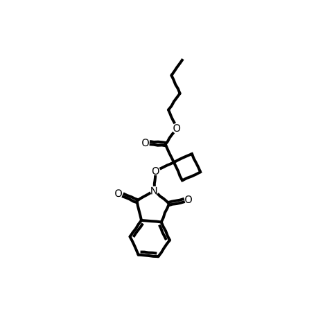 CCCCOC(=O)C1(ON2C(=O)c3ccccc3C2=O)CCC1